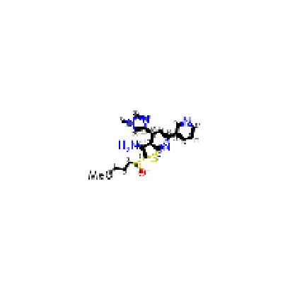 COCCC[S+]([O-])c1sc2nc(-c3cccnc3)cc(-c3cn(C)cn3)c2c1N